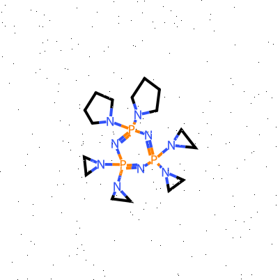 C1CCN(P2(N3CCCC3)=NP(N3CC3)(N3CC3)=NP(N3CC3)(N3CC3)=N2)C1